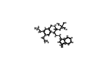 COc1cc2c(cc1OC)C(CCc1c[nH]c3ccccc13)N(CC(F)(F)F)CC2